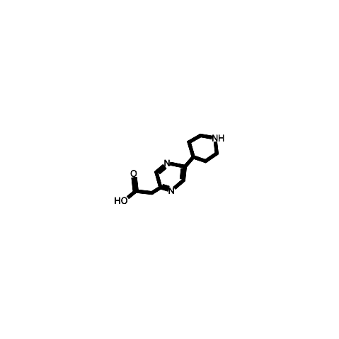 O=C(O)Cc1cnc(C2CCNCC2)cn1